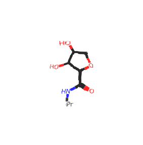 CC(C)NC(=O)C1OCC(O)C1O